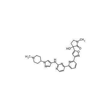 CN1CCC(n2cc(Nc3nccc(-c4cccc(-c5cc(C6(O)CCN(C)C6=O)on5)n4)n3)cn2)CC1